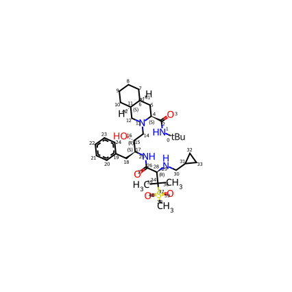 CC(C)(C)NC(=O)[C@@H]1C[C@@H]2CCCC[C@@H]2CN1C[C@@H](O)[C@H](Cc1ccccc1)NC(=O)[C@@H](NCC1CC1)C(C)(C)S(C)(=O)=O